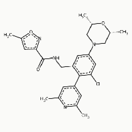 Cc1cc(-c2c(Cl)cc(N3C[C@@H](C)O[C@@H](C)C3)cc2CNC(=O)c2cc(C)on2)cc(C)n1